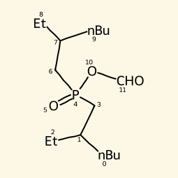 CCCCC(CC)CP(=O)(CC(CC)CCCC)OC=O